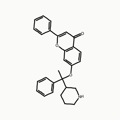 CC(Oc1ccc2c(=O)cc(-c3ccccc3)oc2c1)(c1ccccc1)C1CCCNC1